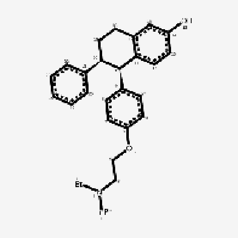 CCCN(CC)CCOc1ccc([C@@H]2c3ccc(O)cc3CC[C@@H]2c2ccccc2)cc1